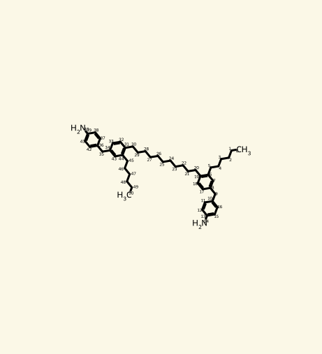 CCCCCCc1cc(Cc2ccc(N)cc2)ccc1CCCCCCCCCCCc1ccc(Cc2ccc(N)cc2)cc1CCCCCC